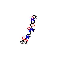 CCO[n+]1ccc2oc(-c3nc(CC4CCN(C(=O)OC(C)(C)C)CC4)no3)cc2c1.[I-]